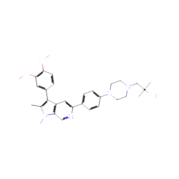 COc1ccc(-c2c(C)n(C)c3cnc(-c4ccc(N5CCN(CC(C)(C)O)CC5)cc4)cc23)cc1OC